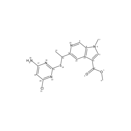 COC(=O)c1cn(C)c2cnc(C(C)Sc3nc(N)cc(Cl)n3)cc12